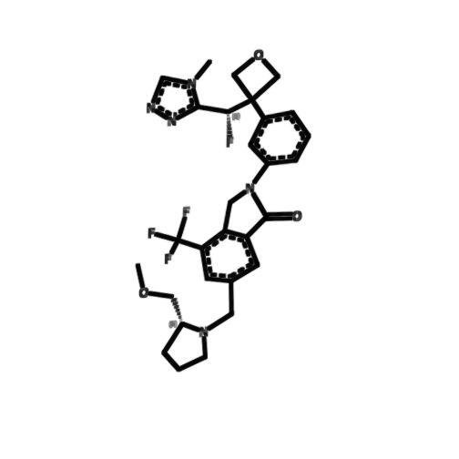 COC[C@H]1CCCN1Cc1cc2c(c(C(F)(F)F)c1)CN(c1cccc(C3([C@H](F)c4nncn4C)COC3)c1)C2=O